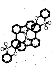 O=S1(=O)c2ccccc2Oc2ccc(-c3cccc4c5ccccc5n(-n5c6ccccc6c6cccc(-c7ccc8c(c7)S(=O)(=O)c7ccccc7O8)c65)c34)cc21